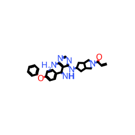 C=CC(=O)N1CC2CC(Nc3ncnc(N)c3C(=N)c3ccc(Oc4ccccc4)cc3)CC2C1